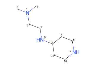 CN(C)CCNC1CCNCC1